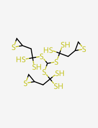 SC(S)(CC1CS1)SC(SC(S)(S)CC1CS1)SC(S)(S)CC1CS1